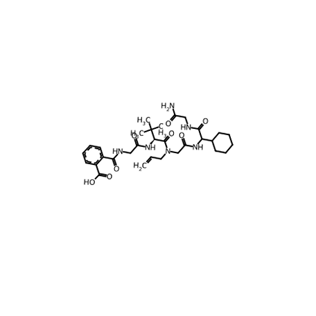 C=CCN(CC(=O)NC(C(=O)NCC(N)=O)C1CCCCC1)C(=O)[C@@H](NC(=O)CNC(=O)c1ccccc1C(=O)O)C(C)(C)C